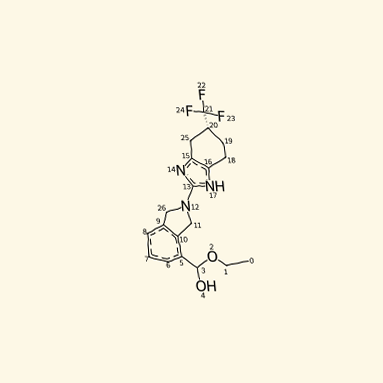 CCOC(O)c1cccc2c1CN(c1nc3c([nH]1)CC[C@@H](C(F)(F)F)C3)C2